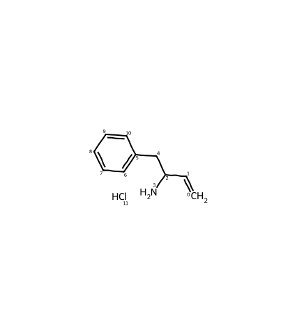 C=CC(N)Cc1ccccc1.Cl